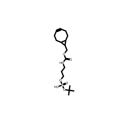 CC(C)(C)OP(=O)(O)OCCCNC(=O)OCC1C2CCC#CCCC21